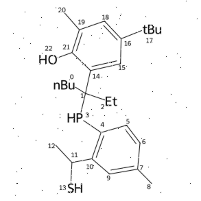 CCCCC(CC)(Pc1ccc(C)cc1C(C)S)c1cc(C(C)(C)C)cc(C)c1O